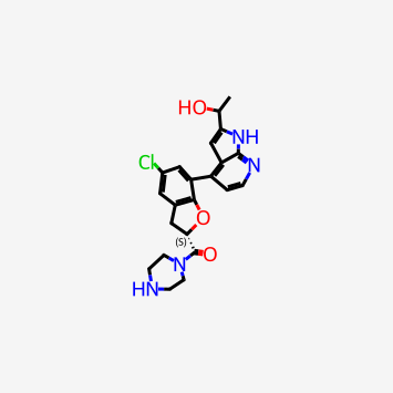 CC(O)c1cc2c(-c3cc(Cl)cc4c3O[C@H](C(=O)N3CCNCC3)C4)ccnc2[nH]1